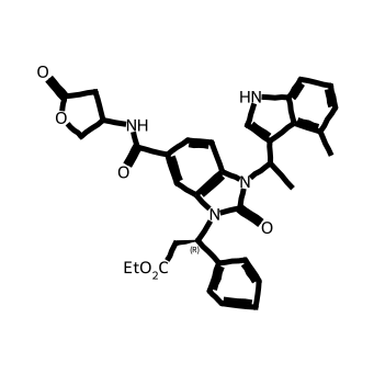 CCOC(=O)C[C@H](c1ccccc1)n1c(=O)n(C(C)c2c[nH]c3cccc(C)c23)c2ccc(C(=O)NC3COC(=O)C3)cc21